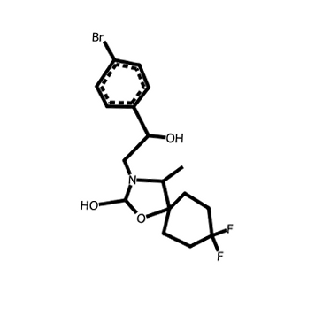 CC1N(CC(O)c2ccc(Br)cc2)C(O)OC12CCC(F)(F)CC2